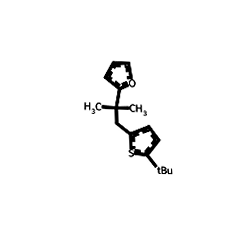 CC(C)(C)c1ccc(CC(C)(C)c2ccco2)s1